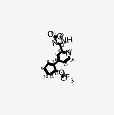 O=c1nc(-c2cc(-c3ccccc3OC(F)(F)F)ccn2)[nH]o1